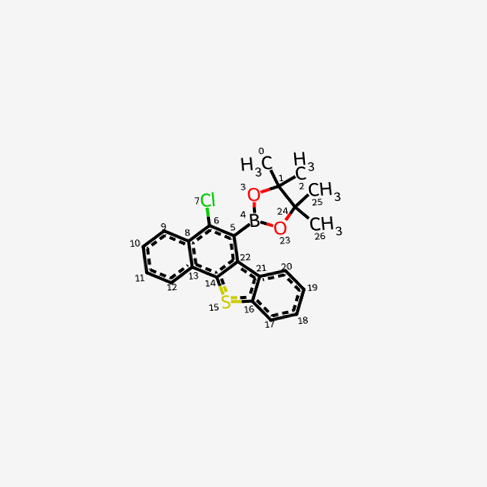 CC1(C)OB(c2c(Cl)c3ccccc3c3sc4ccccc4c23)OC1(C)C